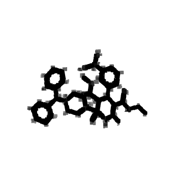 CCOC(=O)C1=C(C)NC(C)(N2CCN(C(c3ccccc3)c3ccccc3)CC2)C(C(=O)OC)C1c1cccc([N+](=O)[O-])c1